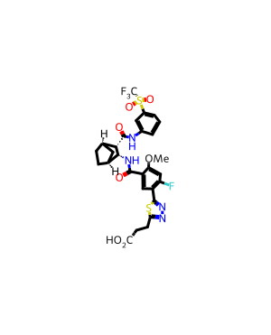 COc1cc(F)c(-c2nnc(CCC(=O)O)s2)cc1C(=O)N[C@@H]1[C@H]2CC[C@H](C2)[C@@H]1C(=O)Nc1cccc(S(=O)(=O)C(F)(F)F)c1